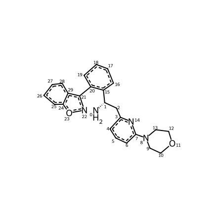 N[C@@H](Cc1cccc(N2CCOCC2)n1)c1ccccc1-c1noc2ccccc12